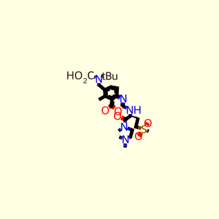 Cc1c(CN(C(=O)O)C(C)(C)C)ccc2nc(N[C@@H](CCS(C)(=O)=O)C(=O)N(C)CCN(C)C)oc(=O)c12